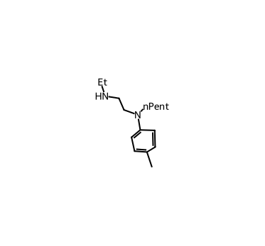 CCCCCN(CCNCC)c1ccc(C)cc1